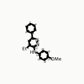 CCc1cc(-c2ccccc2)nnc1Nc1ccc(OC)cc1